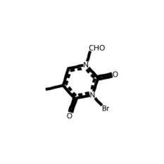 Cc1cn(C=O)c(=O)n(Br)c1=O